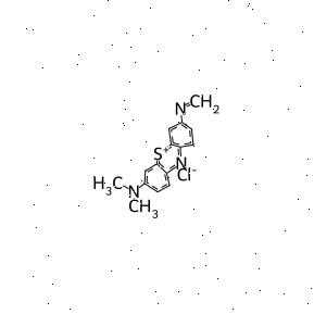 C=Nc1ccc2nc3ccc(N(C)C)cc3[s+]c2c1.[Cl-]